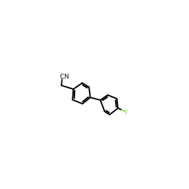 N#CCc1ccc(-c2ccc(F)cc2)cc1